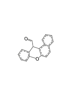 O=CC1c2ccccc2Oc2ccc3ccccc3c21